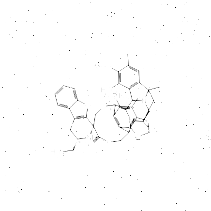 COc1c(C)cc2c(c1O)[C@@H]1C3[C@@H]4SC[C@]5(N[C@@H](CN)Cc6c5oc5ccccc65)C(=O)OC[C@@H](c5c6c(c(C)c(OC(C)=O)c54)OCO6)N3C3(C#N)CN1C2(C)C3